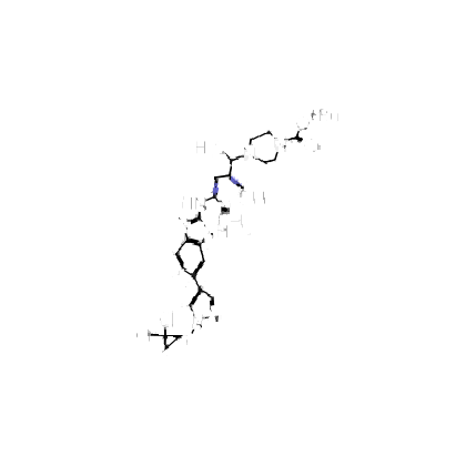 C=N/C(=C\C(=C/C)C(C)N1CCN(C(=O)OC(C)(C)C)CC1)Nc1nc2ccc(-c3cnn(C[C@@H]4CC4(Cl)Cl)c3)cc2[nH]1